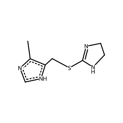 Cc1nc[nH]c1CSC1=NCCN1